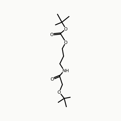 CC(C)(C)OCC(=O)NCCCOC(=O)OC(C)(C)C